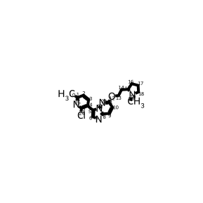 Cc1ccc(-c2cnc3ccc(OCCC4CCCN4C)nn23)c(Cl)n1